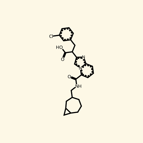 O=C(NCC1CCCC2CC2C1)c1cccc2nc(C(Cc3cccc(Cl)c3)C(=O)O)cn12